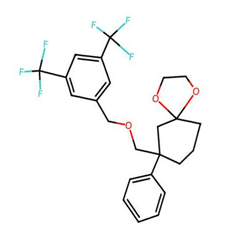 FC(F)(F)c1cc(COCC2(c3ccccc3)CCCC3(C2)OCCO3)cc(C(F)(F)F)c1